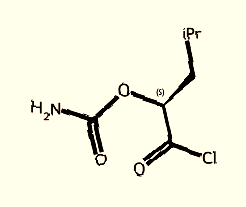 CC(C)C[C@H](OC(N)=O)C(=O)Cl